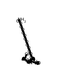 Cc1ccc(CCCO)c(NCc2ccc3nc(NCCCN4CCOCC4)n(Cc4nc(C)ccc4OCCOCCOCCOCCOCCOCCOCCOCCOCCOCCOCCOCCC(N)=O)c3c2)c1